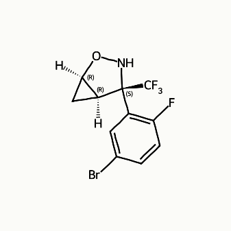 Fc1ccc(Br)cc1[C@@]1(C(F)(F)F)NO[C@@H]2C[C@@H]21